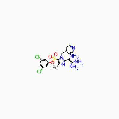 CC(C)c1nc(C(N)=C(N)N)n(Cc2ccncc2)c1S(=O)(=O)Oc1cc(Cl)cc(Cl)c1